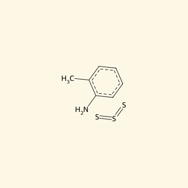 Cc1ccccc1N.S=S=S